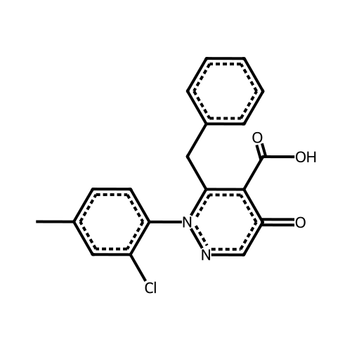 Cc1ccc(-n2ncc(=O)c(C(=O)O)c2Cc2ccccc2)c(Cl)c1